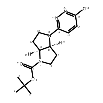 CC(C)(C)OC(=O)N1CC[C@H]2[C@@H]1CCN2c1ccc(Cl)nn1